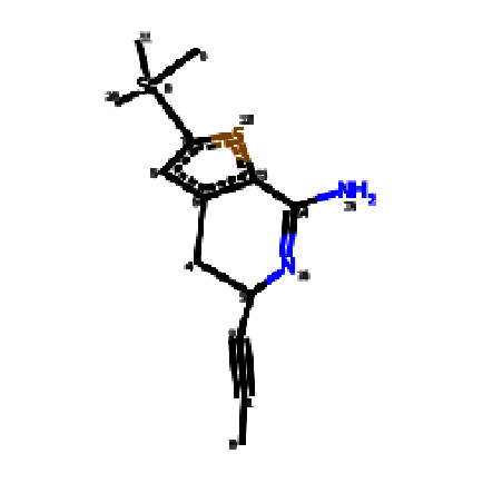 CC#CC1Cc2cc([Si](C)(C)C)sc2C(N)=N1